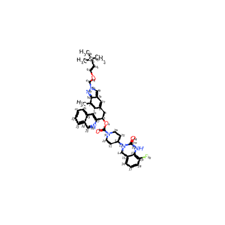 Cc1cc(CC(OC(=O)N2CCC(N3Cc4cccc(F)c4NC3=O)CC2)c2cc3ccccc3cn2)cc2cn(COCC[Si](C)(C)C)nc12